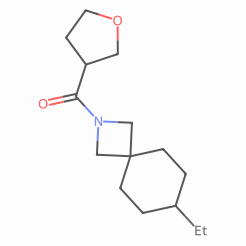 CCC1CCC2(CC1)CN(C(=O)C1CCOC1)C2